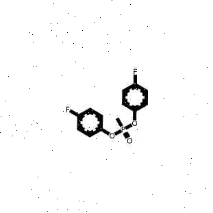 CP(=O)(Oc1ccc(F)cc1)Oc1ccc(F)cc1